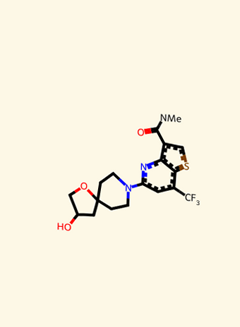 CNC(=O)c1csc2c(C(F)(F)F)cc(N3CCC4(CC3)CC(O)CO4)nc12